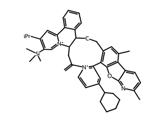 C=C1CC2C(CCc3cc(C)c4c(oc5nc(C)ccc54)c3-c3cc(C4CCCCC4)cc[n+]31)c1ccccc1-c1cc(C(C)C)c([Si](C)(C)C)c[n+]12